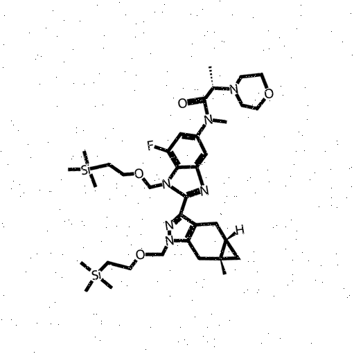 C[C@@H](C(=O)N(C)c1cc(F)c2c(c1)nc(-c1nn(COCC[Si](C)(C)C)c3c1C[C@@H]1C[C@]1(C)C3)n2COCC[Si](C)(C)C)N1CCOCC1